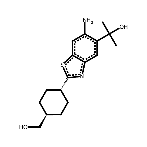 CC(C)(O)c1cc2nc([C@H]3CC[C@H](CO)CC3)sc2cc1N